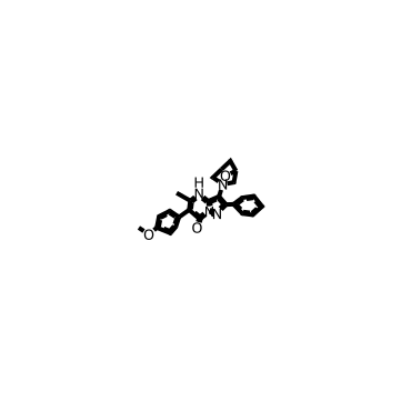 COc1ccc(-c2c(C)[nH]c3c(N4CC5CC(C4)O5)c(-c4ccccc4)nn3c2=O)cc1